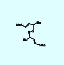 CCC(C)C(C=CSC)SSC(C=CSC)C(C)CC